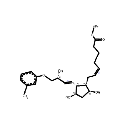 CCCOC(=O)CCC/C=C\C[C@@H]1[C@@H](/C=C/[C@@H](O)COc2cccc(C)c2)[C@H](O)C[C@@H]1O